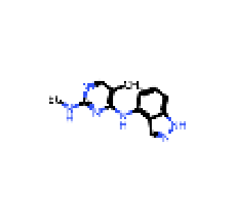 CCNc1ncc(C)c(Nc2cccc3[nH]ncc23)n1